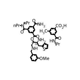 CCCN(CCC)C(=O)c1cc(C(N)=O)cc(C(=O)O[C@H](CNCc2cccc(OC)c2)[C@@H](N)Cc2cccs2)c1.Cc1cc(C(=O)O)cc(C(=O)NC(C)C)c1